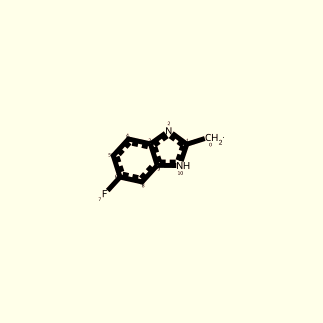 [CH2]c1nc2ccc(F)cc2[nH]1